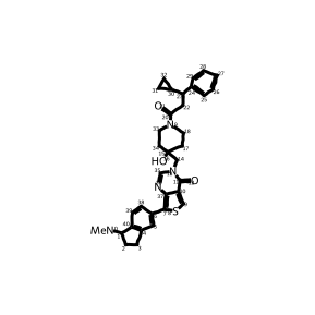 CNC1CCc2cc(-c3scc4c(=O)n(CC5(O)CCN(C(=O)CC(c6ccccc6)C6CC6)CC5)cnc34)ccc21